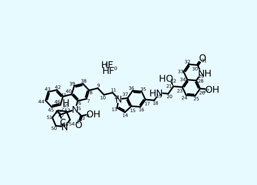 F.F.O=C(O)N(c1cc(CCCn2ccc3cc(CNC[C@@H](O)c4ccc(O)c5[nH]c(=O)ccc45)ccc32)ccc1-c1ccccc1)[C@H]1CN2CCC1CC2